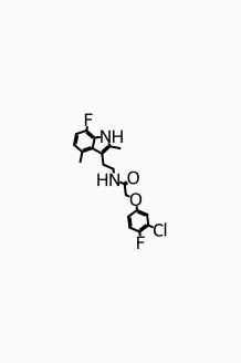 Cc1[nH]c2c(F)ccc(C)c2c1CCNC(=O)COc1ccc(F)c(Cl)c1